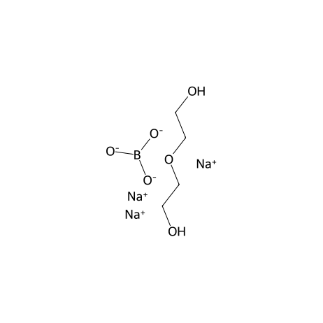 OCCOCCO.[Na+].[Na+].[Na+].[O-]B([O-])[O-]